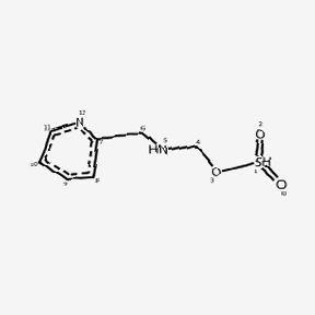 O=[SH](=O)OCNCc1ccccn1